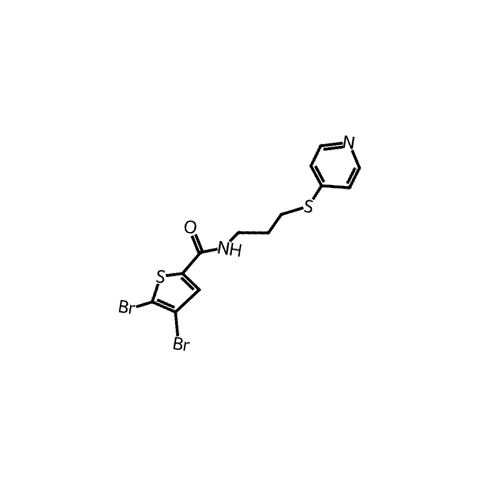 O=C(NCCCSc1ccncc1)c1cc(Br)c(Br)s1